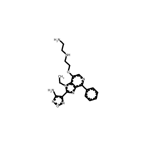 CCn1c(-c2nonc2N)nc2c(-c3ccccc3)ncc(OCCNCCN)c21